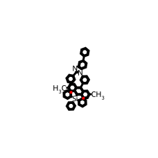 Cc1ccc2c([Si](c3ccccc3)(c3ccccc3)c3ccccc3)c3cc(C)ccc3c(-c3cccc(-n4c(-c5ccccc5)nc5cc(-c6ccccc6)ccc54)c3)c2c1